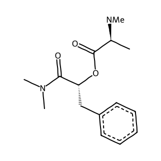 CN[C@@H](C)C(=O)O[C@H](Cc1ccccc1)C(=O)N(C)C